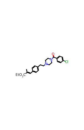 CCOC(=O)C(C)=Cc1ccc(CCN2CCN(C(=O)c3ccc(Cl)cc3)CC2)cc1